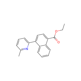 CCOC(=O)c1ccc(-c2cccc(C)n2)c2ccccc12